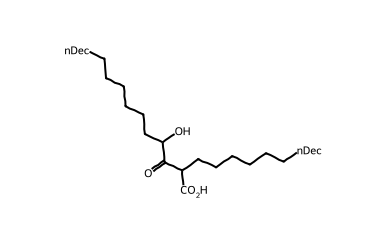 CCCCCCCCCCCCCCCCC(O)C(=O)C(CCCCCCCCCCCCCCCC)C(=O)O